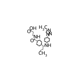 CCCC(Nc1ccc(-n2cc(C)nn2)cc1)c1ccc(C(=O)NCCC(=O)O)cc1